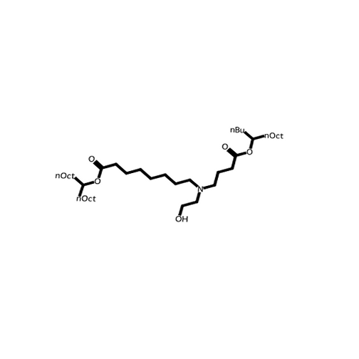 CCCCCCCCC(CCCC)OC(=O)CCCN(CCO)CCCCCCCC(=O)OC(CCCCCCCC)CCCCCCCC